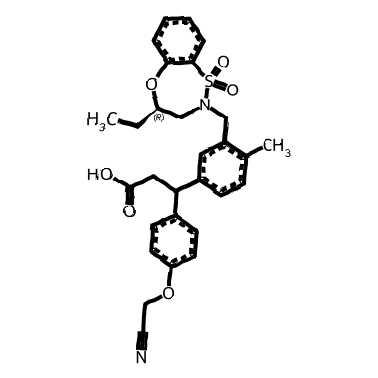 CC[C@@H]1CN(Cc2cc(C(CC(=O)O)c3ccc(OCC#N)cc3)ccc2C)S(=O)(=O)c2ccccc2O1